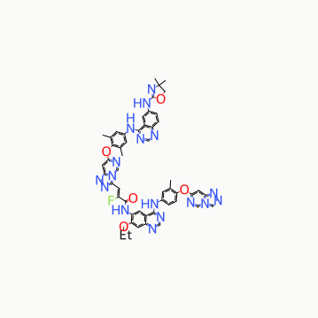 CCOc1cc2ncnc(Nc3ccc(Oc4cc5nncn5cn4)c(C)c3)c2cc1NC(=O)/C(F)=C/c1nnc2cc(Oc3c(C)cc(Nc4ncnc5ccc(NC6=NC(C)(C)CO6)cc45)cc3C)ncn12